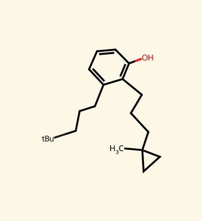 CC(C)(C)CCCc1cccc(O)c1CCCC1(C)CC1